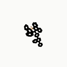 c1ccc(-c2ccc(-c3ccc(C4c5c(c6ccccc6c6ccccc56)Sc5c4c4ccccc4c4ccccc54)cc3)c3ccccc23)cc1